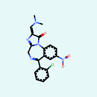 CN(C)C=C1N=C2CN=C(c3ccccc3Cl)c3cc([N+](=O)[O-])ccc3N2C1=O